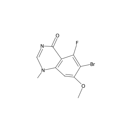 COc1cc2c(c(F)c1Br)c(=O)ncn2C